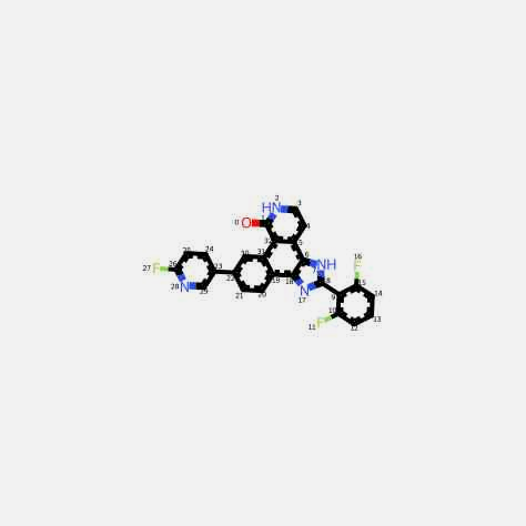 O=c1[nH]ccc2c3[nH]c(-c4c(F)cccc4F)nc3c3ccc(-c4ccc(F)nc4)cc3c12